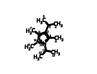 Cc1c(C(C)C)c(C)[n+](C)n1C(C)C